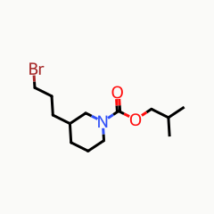 CC(C)COC(=O)N1CCCC(CCCBr)C1